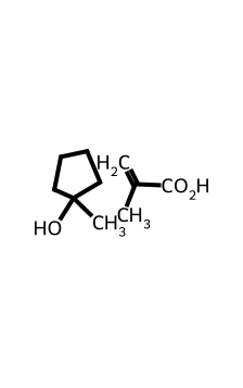 C=C(C)C(=O)O.CC1(O)CCCC1